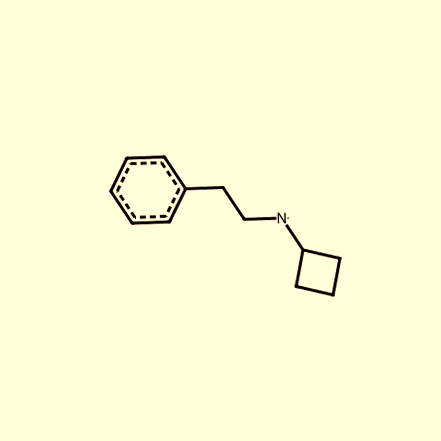 c1ccc(CC[N]C2CCC2)cc1